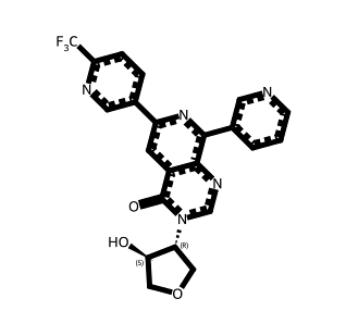 O=c1c2cc(-c3ccc(C(F)(F)F)nc3)nc(-c3cccnc3)c2ncn1[C@@H]1COC[C@H]1O